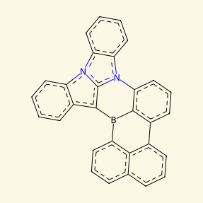 c1cc2c3c(c1)-n1c4ccccc4n4c5ccccc5c(c14)B3c1cccc3cccc-2c13